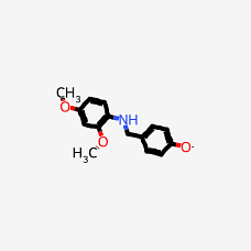 COc1ccc(NCc2ccc([O])cc2)c(OC)c1